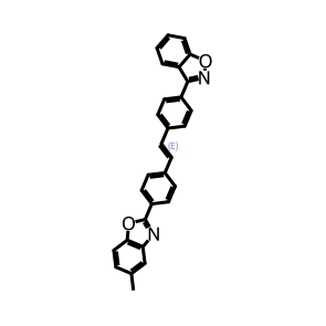 Cc1ccc2oc(-c3ccc(/C=C/c4ccc(-c5noc6ccccc56)cc4)cc3)nc2c1